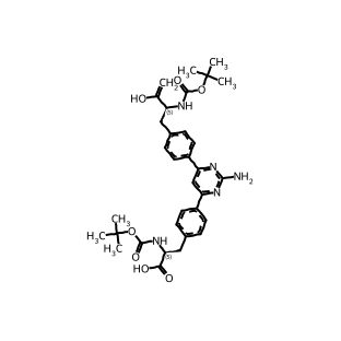 C=C(O)[C@H](Cc1ccc(-c2cc(-c3ccc(C[C@H](NC(=O)OC(C)(C)C)C(=O)O)cc3)nc(N)n2)cc1)NC(=O)OC(C)(C)C